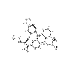 COc1ncc(Nc2cc(C3(C(=O)NSC)CC3)ccc2N(CC(C)C)C2CCOCC2)cn1